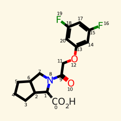 O=C(O)C1C2CCCC2CN1C(=O)COc1cc(F)cc(F)c1